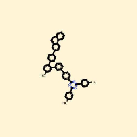 N#Cc1ccc(-c2nc(-c3ccc(C#N)cc3)nc(-c3ccc(-c4cccc(-c5cc(C#N)ccc5-c5ccc(-c6ccc7c(ccc8ccccc87)c6)cc5)c4)cc3)n2)cc1